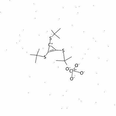 CC(C)(C)Sc1c(SC(C)(C)C)[c+]1SC(C)(C)C.[O-][Cl+3]([O-])([O-])[O-]